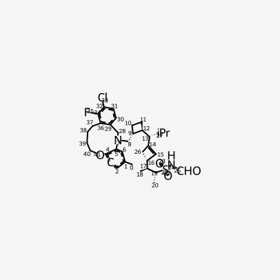 Cc1ccc2c(c1)N(C[C@@H]1CC[C@H]1[C@@H](C1=C[C@H]([C@H](C)[C@@H](C)S(=O)(=O)NC=O)C1)C(C)C)Cc1ccc(Cl)c(F)c1CCCCO2